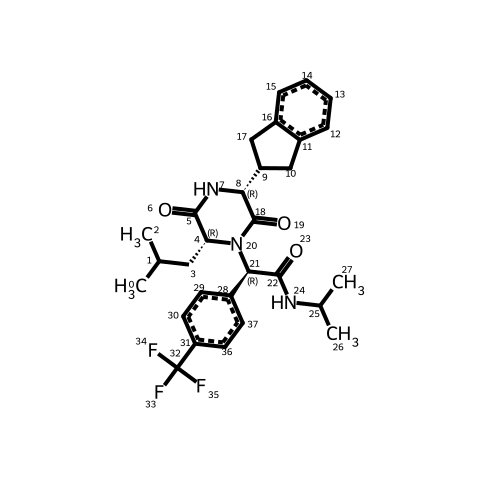 CC(C)C[C@@H]1C(=O)N[C@H](C2Cc3ccccc3C2)C(=O)N1[C@@H](C(=O)NC(C)C)c1ccc(C(F)(F)F)cc1